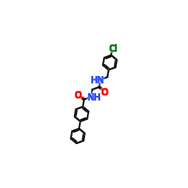 O=C(CNC(=O)c1ccc(-c2ccccc2)cc1)NCc1ccc(Cl)cc1